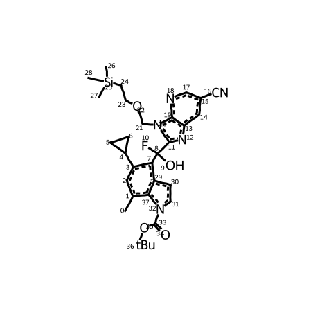 Cc1cc(C2CC2)c(C(O)(F)c2nc3cc(C#N)cnc3n2COCC[Si](C)(C)C)c2ccn(C(=O)OC(C)(C)C)c12